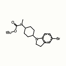 CN(C(=O)OC(C)(C)C)C1CCC(N2CCc3cc(Br)ccc32)CC1